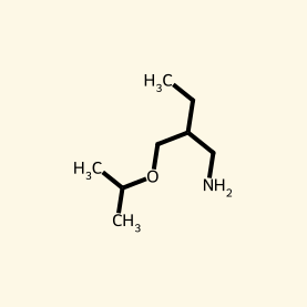 CCC(CN)COC(C)C